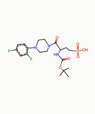 CC(C)(C)OC(=O)NC(CCS(=O)(=O)O)C(=O)N1CCN(c2ccc(F)cc2F)CC1